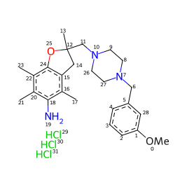 COc1cccc(CN2CCN(CC3(C)Cc4c(C)c(N)c(C)c(C)c4O3)CC2)c1.Cl.Cl.Cl